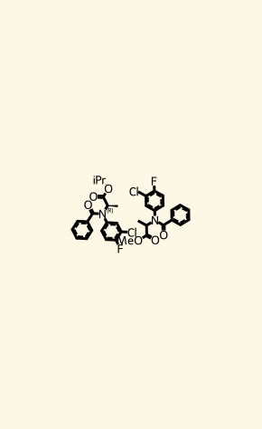 CC(C)OC(=O)[C@@H](C)N(C(=O)c1ccccc1)c1ccc(F)c(Cl)c1.COC(=O)C(C)N(C(=O)c1ccccc1)c1ccc(F)c(Cl)c1